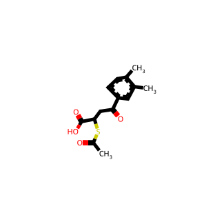 CC(=O)SC(CC(=O)c1ccc(C)c(C)c1)C(=O)O